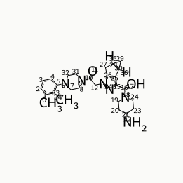 Cc1cccc(N2CCN(C(=O)Cn3nc(C(O)N4CCC(N)CC4)c4c3C[C@H]3C[C@@H]43)CC2)c1C